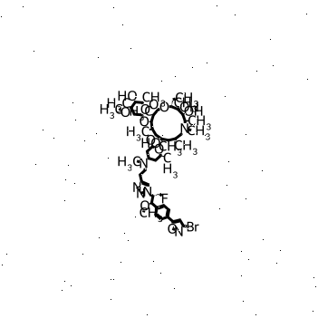 CC[C@H]1OC(=O)[C@H](C)[C@@H](O[C@H]2C[C@@](C)(OC)[C@@H](O)[C@H](C)O2)[C@H](C)[C@@H](O[C@H]2C[C@@H](N(C)CCc3cn([C@H](CF)[C@H](OC)c4ccc(-c5cc(Br)no5)cc4)nn3)C[C@@H](C)O2)[C@](C)(O)C[C@@H](C)CN(C)[C@H](C)[C@@H](O)[C@]1(C)O